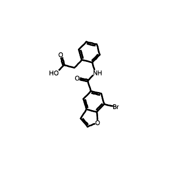 O=C(O)Cc1ccccc1NC(=O)c1cc(Br)c2occc2c1